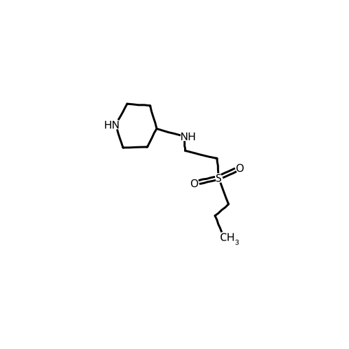 CCCS(=O)(=O)CCNC1CCNCC1